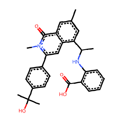 Cc1cc(C(C)Nc2ccccc2C(=O)O)c2cc(-c3ccc(C(C)(C)O)cc3)n(C)c(=O)c2c1